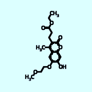 CCOC(=O)CCc1c(C)c2cc(OCCOC)c(O)cc2oc1=O